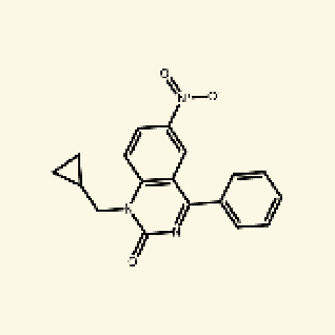 O=c1nc(-c2ccccc2)c2cc([N+](=O)[O-])ccc2n1CC1CC1